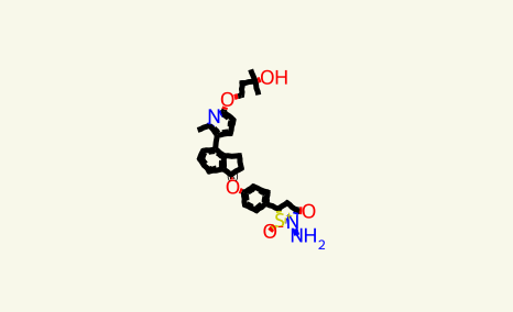 Cc1nc(OCCC(C)(C)O)ccc1-c1cccc2c1CC[C@H]2Oc1ccc(C2CC(=O)N(N)[S+]2[O-])cc1